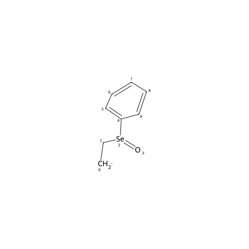 [CH2]C[Se](=O)c1ccccc1